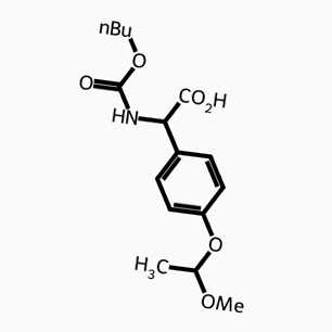 CCCCOC(=O)NC(C(=O)O)c1ccc(OC(C)OC)cc1